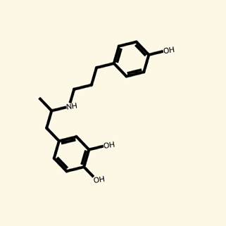 CC(Cc1ccc(O)c(O)c1)NCCCc1ccc(O)cc1